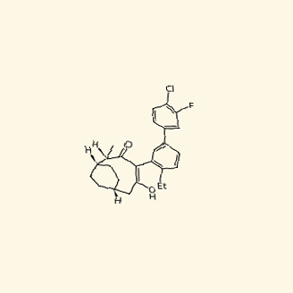 CCc1ccc(-c2ccc(Cl)c(F)c2)cc1/C1=C(\O)C[C@H]2CC[C@H](CC2)[C@H](C)C1=O